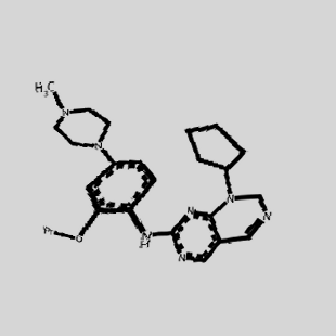 CC(C)Oc1cc(N2CCN(C)CC2)ccc1Nc1ncc2c(n1)N(C1CCCC1)CN=C2